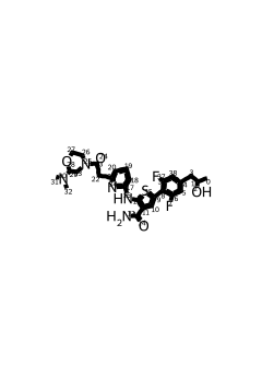 CC(O)Cc1cc(F)c(-c2cc(C(N)=O)c(Nc3cccc(CC(=O)N4CCOC(N(C)C)C4)n3)s2)c(F)c1